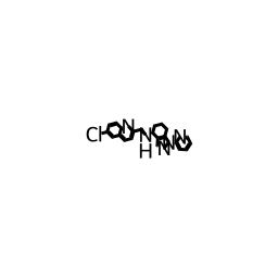 Clc1ccc2nc(CN[C@@H]3CCCc4c3cnn4-c3ccccn3)ccc2c1